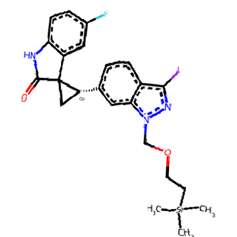 C[Si](C)(C)CCOCn1nc(I)c2ccc([C@@H]3CC34C(=O)Nc3ccc(F)cc34)cc21